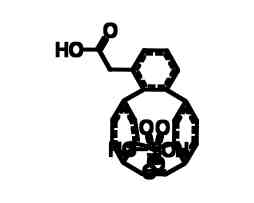 O=C(O)Cc1cccc2c1-c1ccc(c(S(=O)(=O)O)c1)C=Cc1ccc-2cc1S(=O)(=O)O